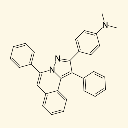 CN(C)c1ccc(-c2nn3c(-c4ccccc4)cc4ccccc4c3c2-c2ccccc2)cc1